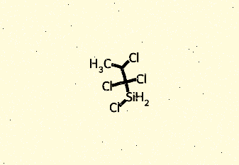 CC(Cl)C(Cl)(Cl)[SiH2]Cl